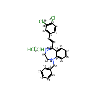 Cl.Cl.Clc1ccc(/C=C/C2=NCCN(Cc3ccccc3)c3ccccc32)cc1Cl